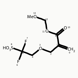 C=C(COCC(F)(F)S(=O)(=O)O)C(=O)OCOC